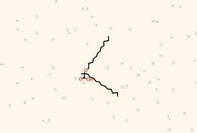 CCCCCCCCCCCCOC(C)(CCCCCCCCCCCC)C(=O)O